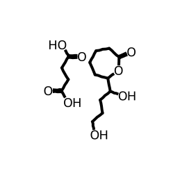 O=C(O)CCC(=O)O.O=C1CCCCC(C(O)CCCO)O1